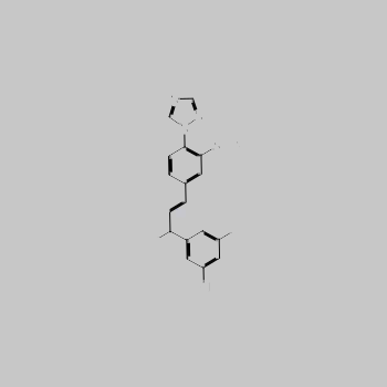 CC(=O)Nc1cc(/C=C/C(c2cc(Cl)cc(Cl)c2)C(F)(F)F)ccc1-n1cncn1